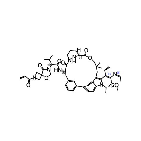 C=CC(=O)N1CC2(C1)OCN([C@H](C(=O)N[C@H]1Cc3cccc(c3)-c3ccc4c(c3)c(c(/C(C=C)=C(/N=C\C)[C@H](C)OC)n4CC)CC(C)(C)COC(=O)[C@@H]3CCCN(N3)C1=O)C(C)C)C2=O